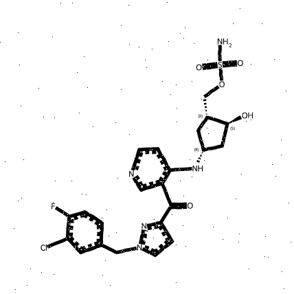 NS(=O)(=O)OC[C@H]1C[C@@H](Nc2ccncc2C(=O)c2ccn(Cc3ccc(F)c(Cl)c3)n2)C[C@@H]1O